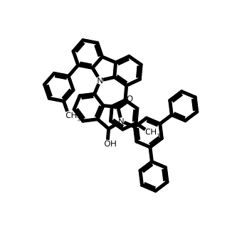 Cc1cccc(-c2cccc3c4cccc(-c5cccc(C)c5)c4n(-c4cccc5c4C(=O)N(c4cc(-c6ccccc6)cc(-c6ccccc6)c4)C5O)c23)c1